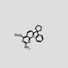 CNc1nc(N)nc2nc(C3(c4ccccc4)CCCC3)ccc12